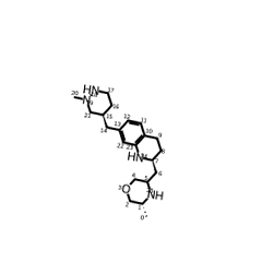 C[C@@H]1COCC(C[C@@H]2CCc3ccc(C[C@@H]4CCNN(C)C4)cc3N2)N1